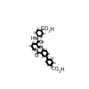 O=C(O)c1ccc(-c2ccc3nc4c(C(=O)N[C@H]5CC[C@@H](C(=O)O)CC5)cccn4c(=O)c3c2)cc1